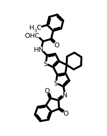 Cc1ccccc1C(=O)C(C=O)Nc1cc2c(s1)-c1sc(N=c3c(=O)c4ccccc4c3=O)cc1C21CCCCC1